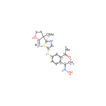 COC1(c2ncc(Sc3ccc(/C(C)=N/O)c(C(=O)C(C)(C)C)c3)s2)CCOC1C